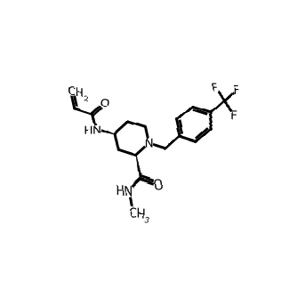 C=CC(=O)N[C@H]1CCN(Cc2ccc(C(F)(F)F)cc2)[C@@H](C(=O)NC)C1